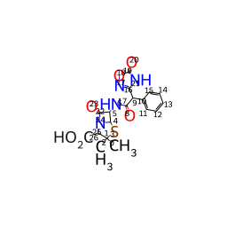 CC1(C)SC2[C@@H](NC(=O)C(c3ccccc3)c3noc(=O)[nH]3)C(=O)N2C1C(=O)O